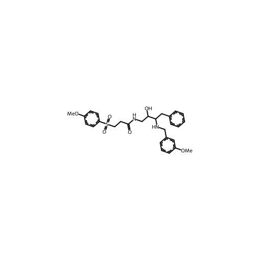 COc1ccc(S(=O)(=O)CCC(=O)NCC(O)C(Cc2ccccc2)NCc2cccc(OC)c2)cc1